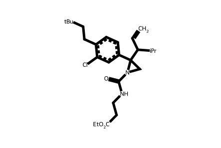 C=CC(C(C)C)C1(c2ccc(CCC(C)(C)C)c(Cl)c2)CN1C(=O)NCCC(=O)OCC